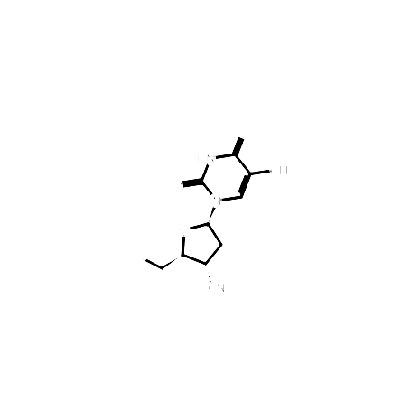 Cc1cn([C@H]2C[C@H](C#N)[C@@H](CO)O2)c(=O)[nH]c1=O